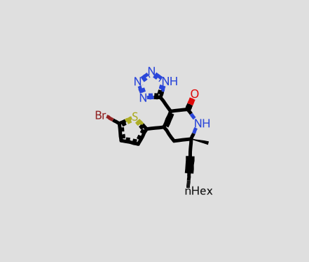 CCCCCCC#C[C@]1(C)CC(c2ccc(Br)s2)=C(c2nnn[nH]2)C(=O)N1